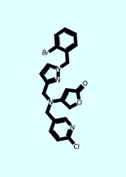 O=C1C=C(N(Cc2ccc(Cl)nc2)Cc2ccn(Cc3ccccc3Br)n2)CO1